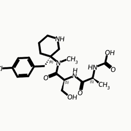 C[C@H](NC(=O)O)C(=O)N[C@@H](CO)C(=O)N(C)[C@@]1(Cc2ccc(Cl)cc2)CCCNC1